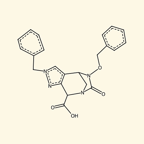 O=C(O)C1c2nn(Cc3ccccc3)cc2C2CN1C(=O)N2OCc1ccccc1